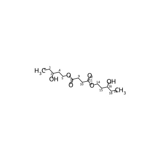 CCC(O)CCOC(=O)CCC(=O)OCCC(O)CC